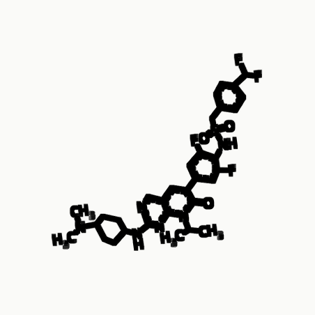 CC(C)n1c(=O)c(-c2cc(F)c(NS(=O)(=O)Cc3ccc(C(F)F)cc3)c(F)c2)cc2cnc(NC3CCC(N(C)C)CC3)nc21